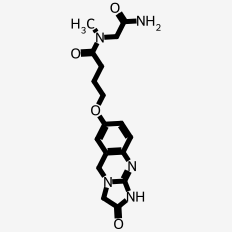 CN(CC(N)=O)C(=O)CCCOc1ccc2c(c1)CN1CC(=O)NC1=N2